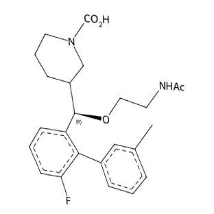 CC(=O)NCCO[C@@H](c1cccc(F)c1-c1cccc(C)c1)C1CCCN(C(=O)O)C1